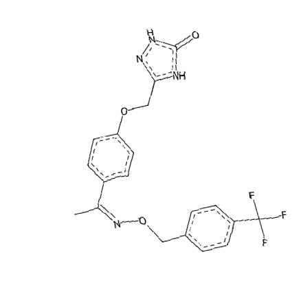 CC(=NOCc1ccc(C(F)(F)F)cc1)c1ccc(OCc2n[nH]c(=O)[nH]2)cc1